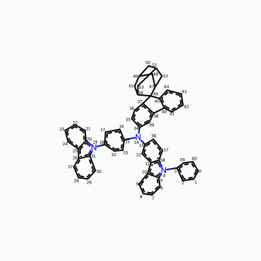 c1ccc(-n2c3ccccc3c3cc(N(c4ccc(-n5c6ccccc6c6ccccc65)cc4)c4ccc5c(c4)-c4ccccc4C54C5CC6CC(C5)CC4C6)ccc32)cc1